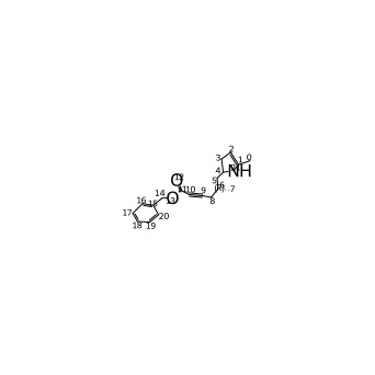 CC1=CCC(C[C@H](C)CC#CC(=O)OCc2ccccc2)N1